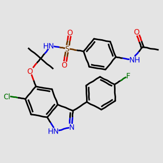 CC(=O)Nc1ccc(S(=O)(=O)NC(C)(C)Oc2cc3c(-c4ccc(F)cc4)n[nH]c3cc2Cl)cc1